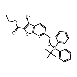 CCOC(=O)c1sc2nc(CO[Si](c3ccccc3)(c3ccccc3)C(C)(C)C)ccc2c1Br